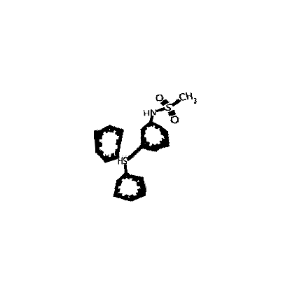 CS(=O)(=O)Nc1cccc([SH](c2ccccc2)c2ccccc2)c1